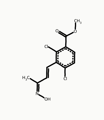 COC(=O)c1ccc(Cl)c(/C=C/C(C)=N\O)c1Cl